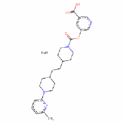 Cc1cccc(N2CCC(CCC3CCN(C(=O)Oc4cncc(C(=O)O)c4)CC3)CC2)n1.[NaH]